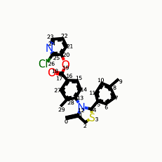 C=C1CSC(c2ccc(C)cc2)N1c1ccc(C(=O)Oc2cccnc2Cl)cc1C